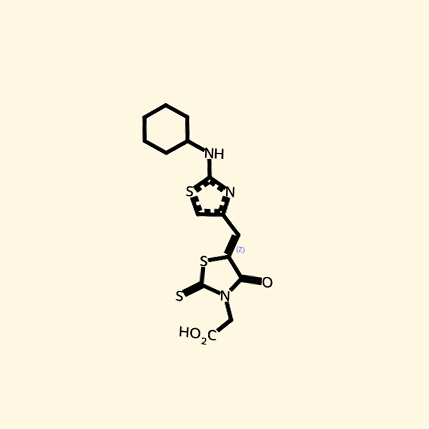 O=C(O)CN1C(=O)/C(=C/c2csc(NC3CCCCC3)n2)SC1=S